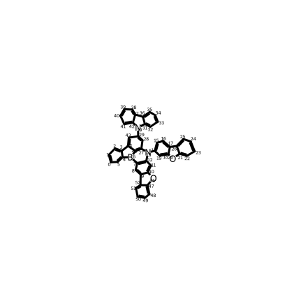 c1ccc2c(c1)B1c3cc4c(cc3N(c3ccc5c(c3)oc3ccccc35)c3cc(-n5c6ccccc6c6ccccc65)cc-2c31)oc1ccccc14